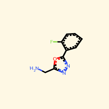 NCc1nnc(-c2ccccc2F)o1